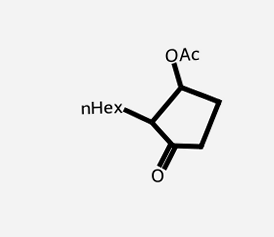 CCCCCCC1C(=O)CCC1OC(C)=O